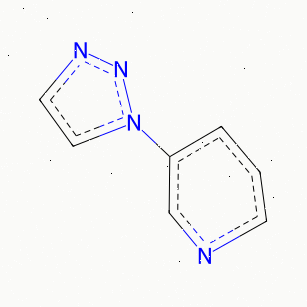 c1cncc(-n2ccnn2)c1